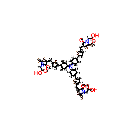 O=C(O)CN1C(=O)/C(=C/c2ccc(-c3ccc(N(c4ccc(-c5ccc(/C=C6/SC(=S)N(CC(=O)O)C6=O)s5)cc4)c4ccc(-c5ccc(/C=C6/SC(=S)N(CC(=O)O)C6=O)s5)cc4)cc3)s2)SC1=S